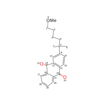 COCCCCC(C)(C)c1ccc2c(c1)C(=O)c1ccccc1C2=O